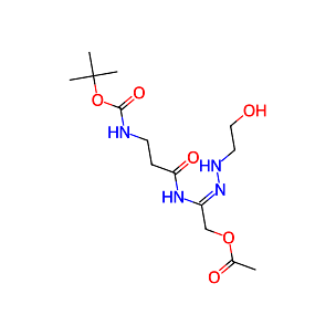 CC(=O)OCC(=NNCCO)NC(=O)CCNC(=O)OC(C)(C)C